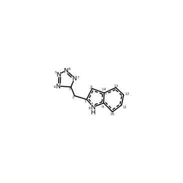 [c]1c(CC2N=NN=N2)[nH]c2ccccc12